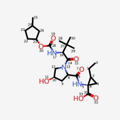 CCC1C[C@]1(NC(=O)C1C[C@@H](O)CN1C(=O)[C@@H](NC(=O)OC1CCC(C)C1)C(C)(C)C)C(=O)O